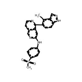 Cc1c(-c2nccc3cnc(Nc4ccc(S(C)(=O)=O)cc4)cc23)ccc2[nH]ncc12